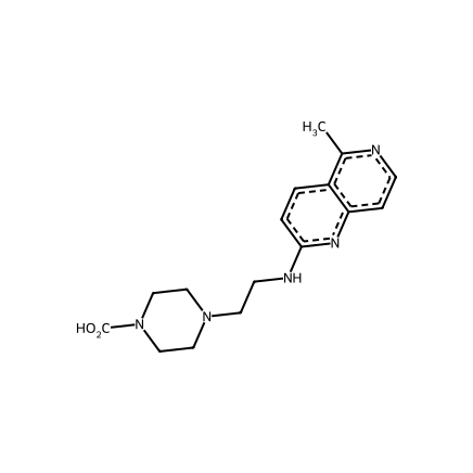 Cc1nccc2nc(NCCN3CCN(C(=O)O)CC3)ccc12